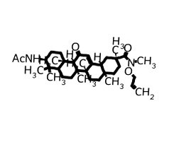 C=CCON(C)C(=O)[C@@]1(C)CC[C@]2(C)CC[C@]3(C)C(=CC(=O)[C@@H]4[C@@]5(C)CC[C@H](NC(C)=O)C(C)(C)C5CC[C@]43C)[C@@H]2C1